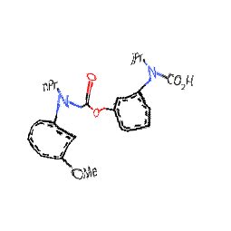 CCCN(C(=O)Oc1cccc(N(C(=O)O)C(C)C)c1)c1cccc(OC)c1